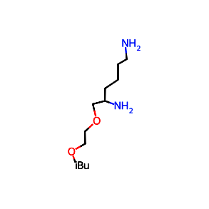 CCC(C)OCCOCC(N)CCCCN